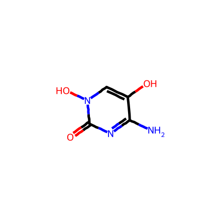 Nc1nc(=O)n(O)cc1O